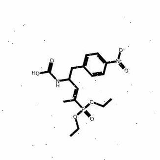 CCOP(=O)(OCC)C(C)=CC(Cc1ccc([N+](=O)[O-])cc1)NC(=O)O